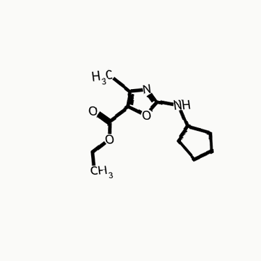 CCOC(=O)c1oc(NC2CCCC2)nc1C